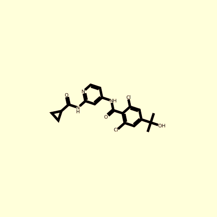 CC(C)(O)c1cc(Cl)c(C(=O)Nc2ccnc(NC(=O)C3CC3)c2)c(Cl)c1